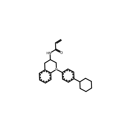 C=CC(=O)NC1Cc2ccccc2N(c2ccc(C3CCCCC3)cc2)C1